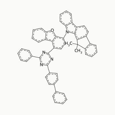 CC1(C)c2ccccc2-c2ccc3c4ccccc4n(-c4ccc(-c5nc(-c6ccccc6)nc(-c6ccc(-c7ccccc7)cc6)n5)c5c4oc4ccccc45)c3c21